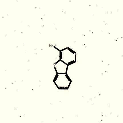 Sc1cccc2c1sc1ccccc12